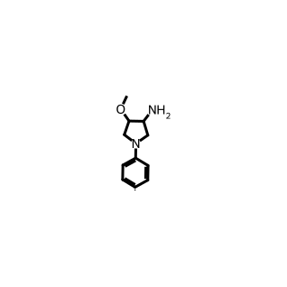 COC1CN(c2cc[c]cc2)CC1N